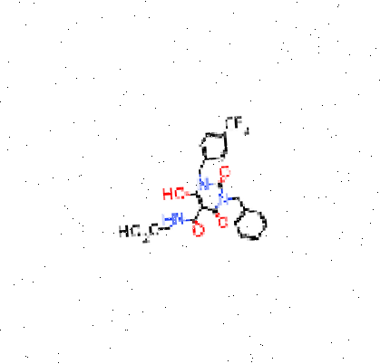 O=C(O)CNC(=O)c1c(O)n(Cc2ccc(C(F)(F)F)cc2)c(=O)n(Cc2ccccc2)c1=O